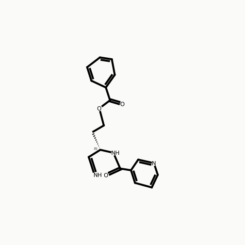 N=C[C@H](CCOC(=O)c1ccccc1)NC(=O)c1cccnc1